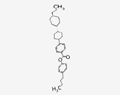 CCCCc1ccc(OC(=O)c2ccc(C3CCC([C@H]4CC[C@H](CCC)CC4)CC3)cc2)cc1